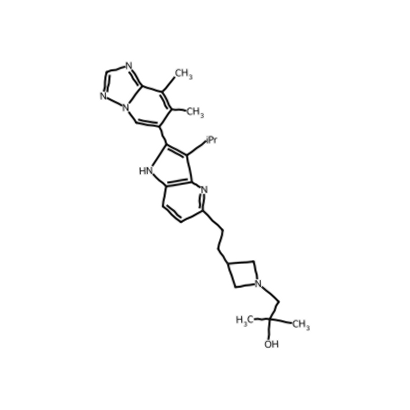 Cc1c(-c2[nH]c3ccc(CCC4CN(CC(C)(C)O)C4)nc3c2C(C)C)cn2ncnc2c1C